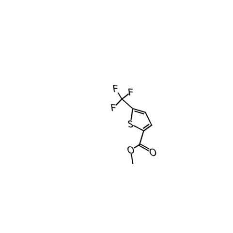 COC(=O)c1ccc(C(F)(F)F)s1